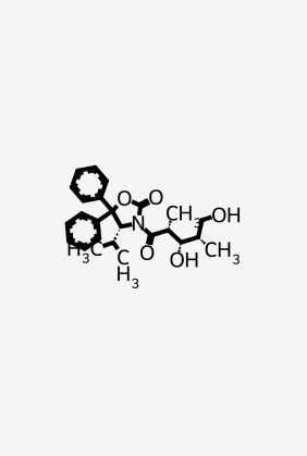 CC(C)[C@H]1N(C(=O)[C@H](C)[C@@H](O)[C@@H](C)CO)C(=O)OC1(c1ccccc1)c1ccccc1